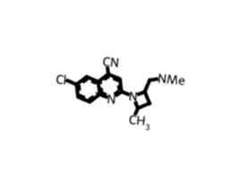 CNCC1CC(C)N1c1cc(C#N)c2cc(Cl)ccc2n1